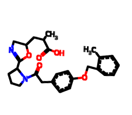 Cc1ccccc1COc1ccc(CC(=O)N2CCCC2C2=NCC(CC(C)C(=O)O)O2)cc1